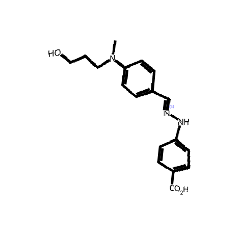 CN(CCCO)c1ccc(/C=N/Nc2ccc(C(=O)O)cc2)cc1